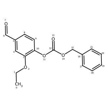 CCOc1cc(C=O)ccc1OC(=O)OCc1ccccc1